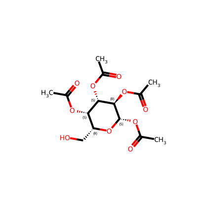 CC(=O)O[C@@H]1O[C@H](CO)[C@H](OC(C)=O)[C@H](OC(C)=O)[C@H]1OC(C)=O